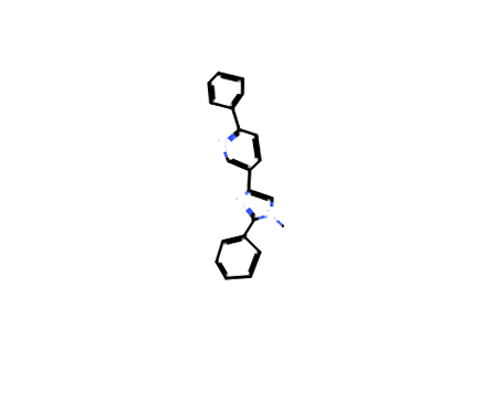 Cn1cc(-c2ccc(-c3ccccc3)nc2)nc1-c1ccccc1